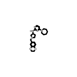 c1cc(N2CCCCCC2)nc(NC2CCN(Cc3ccc4c(c3)OCCO4)C2)n1